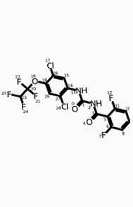 O=C(NC(=O)c1c(F)cccc1F)Nc1cc(Cl)c(OC(F)(F)C(F)F)cc1Cl